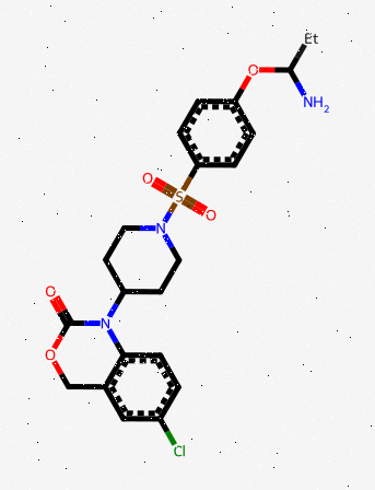 CCC(N)Oc1ccc(S(=O)(=O)N2CCC(N3C(=O)OCc4cc(Cl)ccc43)CC2)cc1